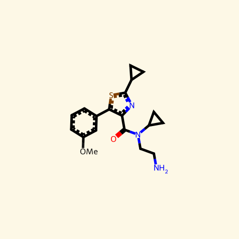 COc1cccc(-c2sc(C3CC3)nc2C(=O)N(CCN)C2CC2)c1